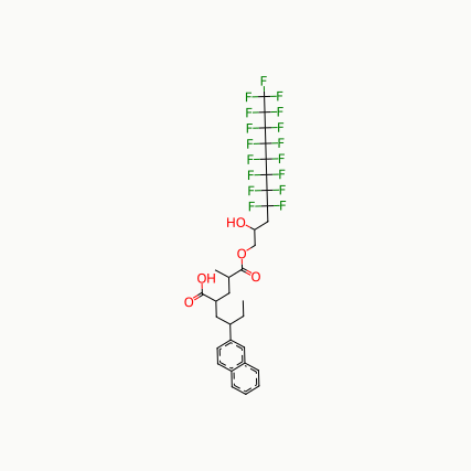 CCC(CC(CC(C)C(=O)OCC(O)CC(F)(F)C(F)(F)C(F)(F)C(F)(F)C(F)(F)C(F)(F)C(F)(F)C(F)(F)F)C(=O)O)c1ccc2ccccc2c1